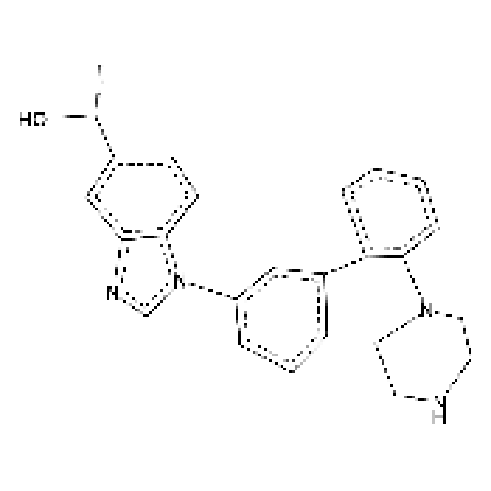 C[C@@H](O)c1ccc2c(c1)ncn2-c1cccc(-c2ccccc2N2CCNCC2)c1